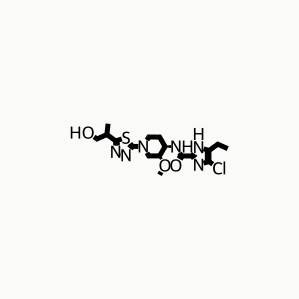 CCc1[nH]c(C(=O)N[C@@H]2CCN(c3nnc(C(C)CO)s3)C[C@@H]2OC)nc1Cl